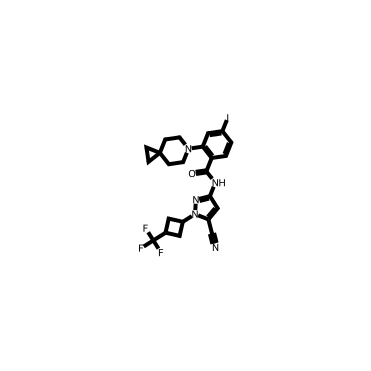 N#Cc1cc(NC(=O)c2ccc(I)cc2N2CCC3(CC2)CC3)nn1C1CC(C(F)(F)F)C1